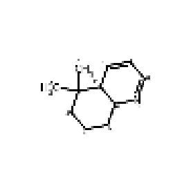 CC1(C)CCCC2N=CC=CC21